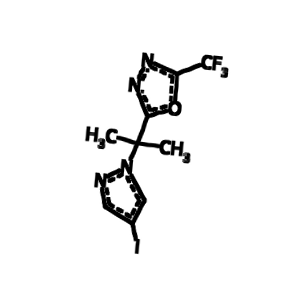 CC(C)(c1nnc(C(F)(F)F)o1)n1cc(I)cn1